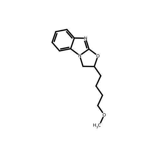 COCCCCC1Cn2c(nc3ccccc32)O1